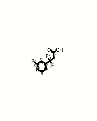 O=C(O)CC(F)(F)c1ccnc(F)c1